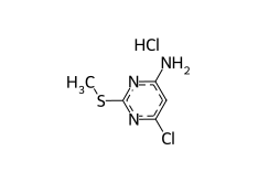 CSc1nc(N)cc(Cl)n1.Cl